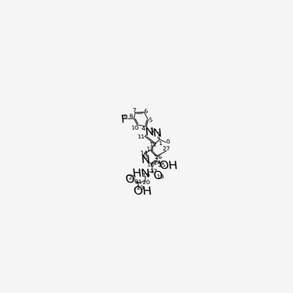 Cc1nn(-c2cccc(F)c2)cc1-c1cnc(C(=O)NCC(=O)O)c(O)c1C